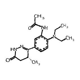 CCN(CC)c1ccc(C2=NNC(=O)C[C@H]2C)cc1NC(C)=O